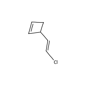 ClC=CC1C=CC1